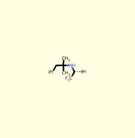 CC(C)CC(C)(C)N[C@H](C(C)C)C(F)(F)F